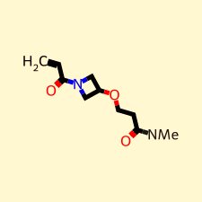 C=CC(=O)N1CC(OCCC(=O)NC)C1